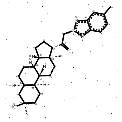 Cc1ccc2nn(CC(=O)[C@H]3CC[C@H]4[C@@H]5CC[C@@H]6C[C@](C)(O)CC[C@@H]6[C@H]5CC[C@]34C)nc2c1